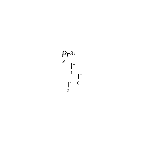 [I-].[I-].[I-].[Pr+3]